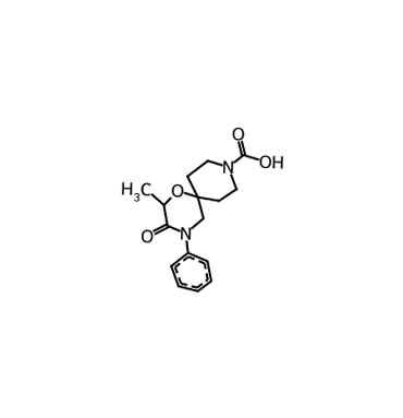 CC1OC2(CCN(C(=O)O)CC2)CN(c2ccccc2)C1=O